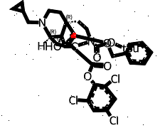 CC(C)(C)OC(=O)N1CC[C@]23CCN(CC4CC4)[C@H](Cc4cc(C(=O)Oc5c(Cl)cc(Cl)cc5Cl)c(OCc5ccccc5)cc42)[C@]3(O)CC1